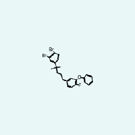 CC(C)(CCCc1ccc(F)c(Oc2ccccc2)c1)c1ccc(Br)c(Br)c1